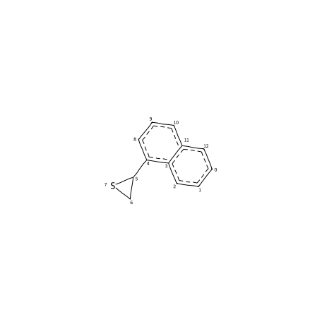 c1ccc2c(C3CS3)cccc2c1